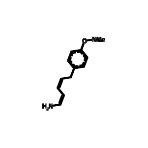 CNOc1ccc(C/C=C\C=C/N)cc1